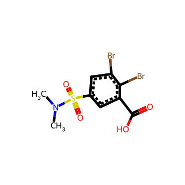 CN(C)S(=O)(=O)c1cc(Br)c(Br)c(C(=O)O)c1